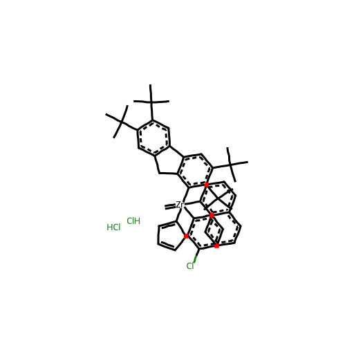 Cl.Cl.[CH2]=[Zr]([C]1=CC=CC1)([c]1cccc(Cl)c1)([c]1c2c(cc(C(C)(C)C)c1C(C)(C)C)-c1cc(C(C)(C)C)c(C(C)(C)C)cc1C2)[c]1cccc2ccccc12